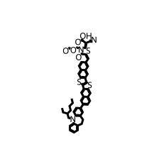 CCCCC(CC)CN1c2ccccc2CCc2cc(-c3ccc4cc5sc6c7cc8cc(/C=c9/s/c(=C(\C#N)C(=O)O)n(COC=O)c9=O)ccc8cc7sc6c5cc4c3)ccc21